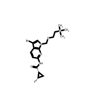 C[Si](C)(C)CCOCn1cc(Br)c2ccc(NC(=O)[C@@H]3C[C@@H]3F)nc21